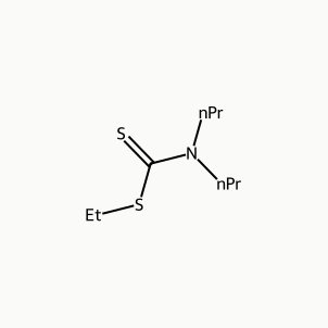 CCCN(CCC)C(=S)SCC